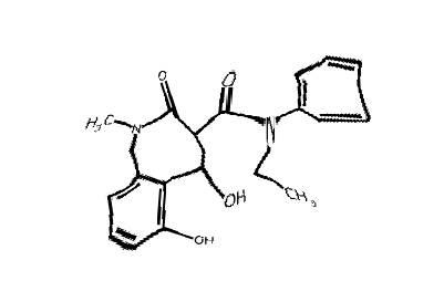 CCN(C(=O)C1C(=O)N(C)c2cccc(O)c2C1O)c1ccccc1